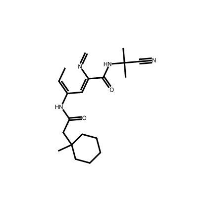 C=N/C(=C\C(=C/C)NC(=O)CC1(C)CCCCC1)C(=O)NC(C)(C)C#N